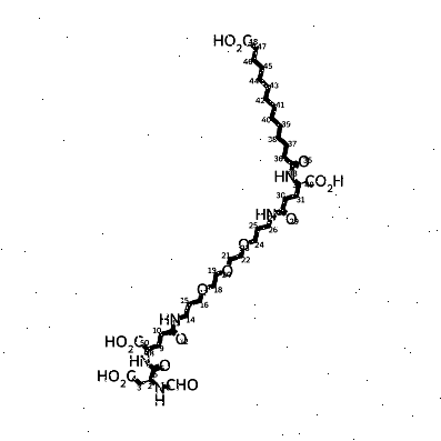 O=CN[C@@H](CC(=O)O)C(=O)NC(CCC(=O)NCCCOCCOCCOCCCNC(=O)CC[C@H](NC(=O)CCCCCCCCCCCCC(=O)O)C(=O)O)C(=O)O